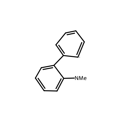 CNc1ccccc1-c1[c]cccc1